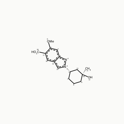 COc1cc2nn([C@H]3CCC[C@](C)(O)C3)cc2cc1C(=O)O